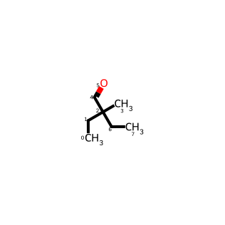 CCC(C)(C=O)CC